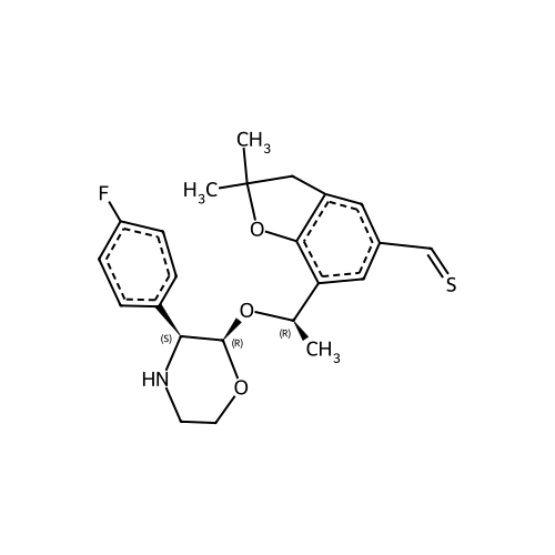 C[C@@H](O[C@H]1OCCN[C@H]1c1ccc(F)cc1)c1cc(C=S)cc2c1OC(C)(C)C2